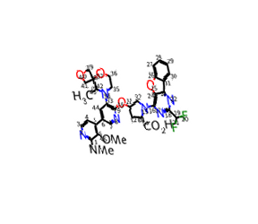 CNc1nccc(-c2cnc(OC3C[C@@H](C(=O)O)N(c4nc(C(F)F)nc5c4oc4ccccc45)C3)c(N3CCOC4(COC4)[C@@H]3C)c2)c1OC